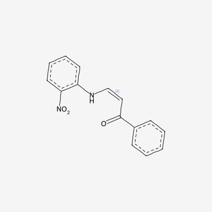 O=C(/C=C\Nc1ccccc1[N+](=O)[O-])c1ccccc1